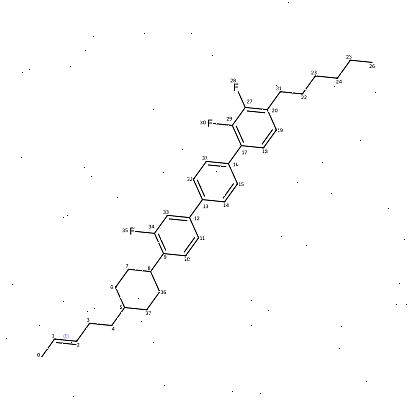 C/C=C/CCC1CCC(c2ccc(-c3ccc(-c4ccc(CCCCCC)c(F)c4F)cc3)cc2F)CC1